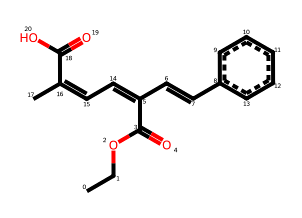 CCOC(=O)C(C=Cc1ccccc1)=CC=C(C)C(=O)O